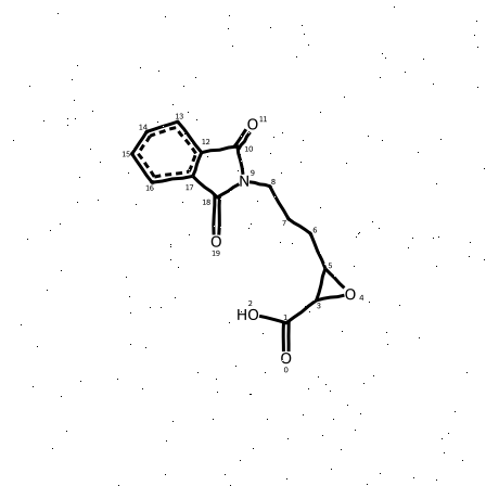 O=C(O)C1OC1CCCN1C(=O)c2ccccc2C1=O